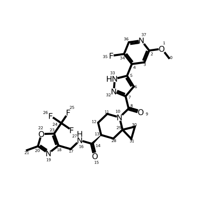 COc1cc(-c2cc(C(=O)N3CC[C@H](C(=O)NCc4nc(C)oc4C(F)(F)F)CC34CC4)n[nH]2)c(F)cn1